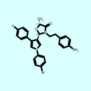 C[C@H]1O[C@H](c2cn(-c3ccc(Br)cc3)cc2-c2ccc(F)cc2)N(CCc2ccc(N)cc2)C1=O